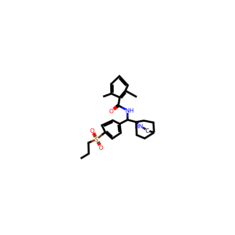 CCCS(=O)(=O)c1ccc(C(NC(=O)c2c(C)cccc2C)C23CCC(CC2)CN3)cc1